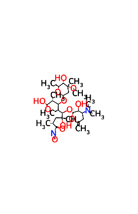 CO[C@]1(C)C[C@H](O[C@@H]([C@H](C)[C@@H](O[C@@H]2O[C@H](C)C[C@H](N(C)C)C2O)[C@](C)(O)C[C@@H](C)C(=O)N=O)[C@@H](C)C(=O)O)O[C@@H](C)[C@@H]1O